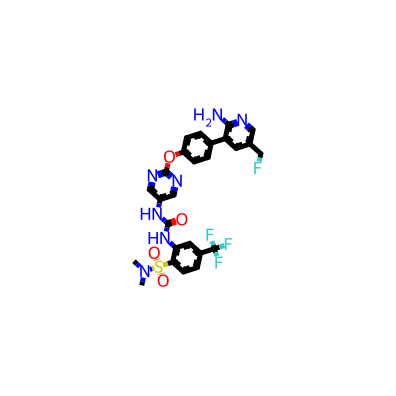 CN(C)S(=O)(=O)c1ccc(C(F)(F)F)cc1NC(=O)Nc1cnc(Oc2ccc(-c3cc(CF)cnc3N)cc2)nc1